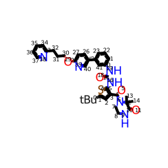 CC(C)(C)c1cc(C(=O)N2CCNC(=O)C2(C)C)c(NC(=O)Nc2cccc(-c3ccc(OCCCc4ccccn4)nc3)c2)s1